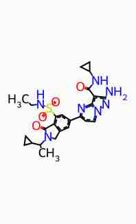 CCNS(=O)(=O)c1cc(-c2ccn3nc(N)c(C(=O)NC4CC4)c3n2)cc2c1C(=O)N([C@@H](C)C1CC1)C2